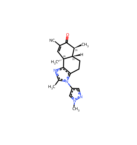 Cc1nc2c(n1-c1cnn(C)c1)CC[C@H]1[C@H](C)C(=O)C(C#N)=C[C@]21C